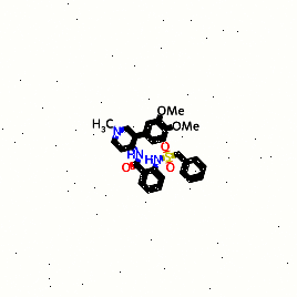 COc1ccc(C2CN(C)CCC2NC(=O)c2ccccc2NS(=O)(=O)Cc2ccccc2)cc1OC